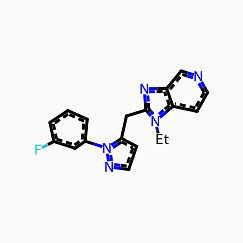 CCn1c(Cc2ccnn2-c2cccc(F)c2)nc2cnccc21